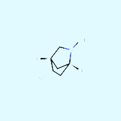 CN1C[C@@H]2C[C@H]1C[C@@H]2N